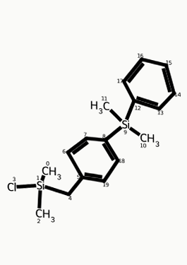 C[Si](C)(Cl)Cc1ccc([Si](C)(C)c2ccccc2)cc1